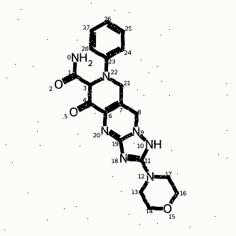 NC(=O)C1C(=O)C2=C(CN3NC(N4CCOCC4)=NC3=N2)CN1c1ccccc1